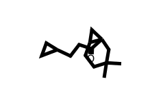 CC1(C)CCC2CC2(C(=O)CCC2CC2)C1